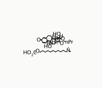 CCCC1O[C@@H]2C[C@H]3[C@@H]4CCC5=CC(=O)C=C[C@]5(C)[C@H]4[C@@H](O)C[C@]3(C)[C@]2(C(=O)CO)O1.CN(C)CCCCCCCCCCCOC(=O)O